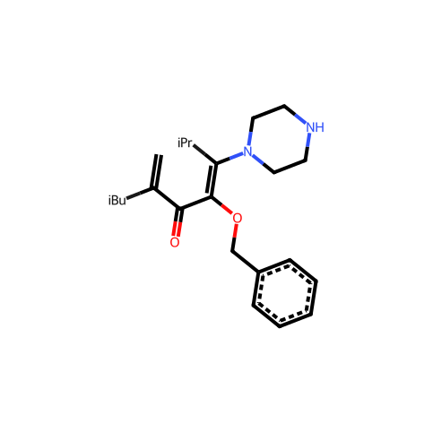 C=C(C(=O)/C(OCc1ccccc1)=C(\C(C)C)N1CCNCC1)C(C)CC